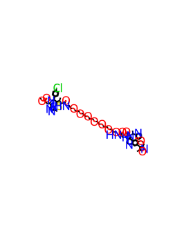 COC(=O)CC1N=C(c2ccc(Cl)cc2)c2c(sc(C(=O)NCCOCCOCCOCCOCCOCCOCCONC(=O)Cn3c(=O)n(C(C)c4ccccn4)c4c5cc(OC)c(-c6c(C)noc6C)cc5ncc43)c2C)-n2c(C)nnc21